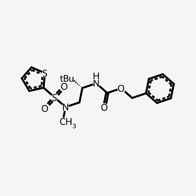 CN(C[C@@H](NC(=O)OCc1ccccc1)C(C)(C)C)S(=O)(=O)c1cccs1